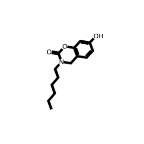 CCCCCCN1Cc2ccc(O)cc2OC1=O